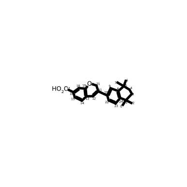 CC1(C)CCC(C)(C)c2cc(C3=Cc4ccc(C(=O)O)cc4OC3)ccc21